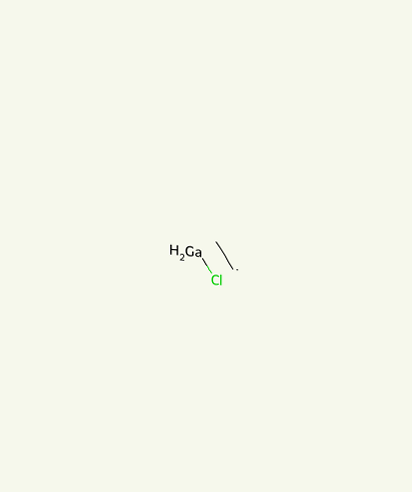 [CH2]C.[Cl][GaH2]